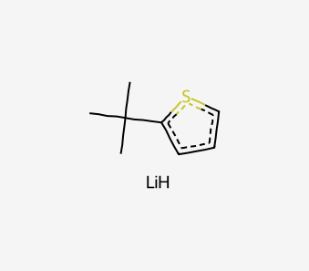 CC(C)(C)c1cccs1.[LiH]